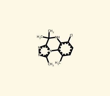 Cc1ccc(Cl)c2c1-n1c(C)nnc1C(C)(C)N2